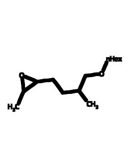 CCCCCCOCC(C)CCC1OC1C